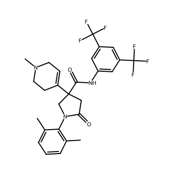 Cc1cccc(C)c1N1CC(C(=O)Nc2cc(C(F)(F)F)cc(C(F)(F)F)c2)(C2=CCN(C)CC2)CC1=O